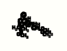 CC(=O)OCC(C)(C)C(=O)CN1C(=O)[C@H](NC(=O)Nc2cccc(NCC(=O)OC(C)(C)C)c2)N=C(c2ccccn2)c2ccccc21